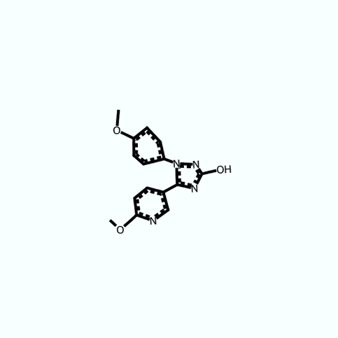 COc1ccc(-n2nc(O)nc2-c2ccc(OC)nc2)cc1